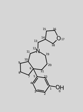 Oc1cccc(C23CCCC2CN(CC2CCOC2)CCC3)c1